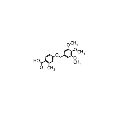 COc1cc(COc2ccc(C(=O)O)c(C)c2)cc(OC)c1OC